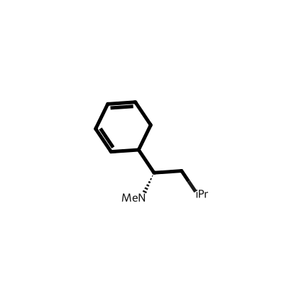 CN[C@@H](CC(C)C)C1C=CC=CC1